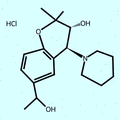 CC(O)c1ccc2c(c1)[C@H](N1CCCCC1)[C@@H](O)C(C)(C)O2.Cl